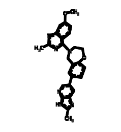 COc1ccc2c(N3CCOc4ccc(-c5cnc6[nH]c(C)nc6c5)cc4C3)nc(C)nc2c1